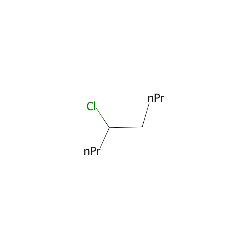 [CH2]CCCC(Cl)CCC